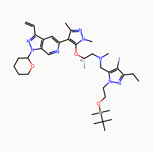 C=Cc1nn(C2CCCCO2)c2cnc(-c3c(C)nn(C)c3O[C@@H](C)CN(C)Cc3c(I)c(CC)nn3CCO[Si](C)(C)C(C)(C)C)cc12